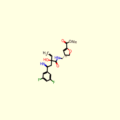 C=CC(O)(CC(=N)c1cc(F)cc(F)c1)C(=O)NC[C@@H]1C=C(C(=O)OC)OC1